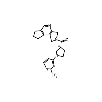 O=C([C@@H]1CCN(c2ccnc(C(F)(F)F)c2)C1)N1Cc2ncc3c(c2C1)CCC3